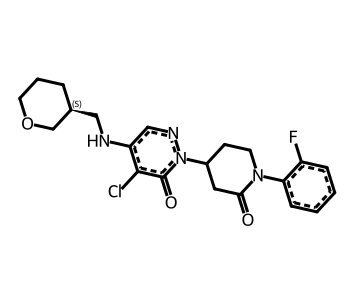 O=C1CC(n2ncc(NC[C@@H]3CCCOC3)c(Cl)c2=O)CCN1c1ccccc1F